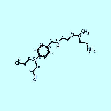 CC(CCN)OCCNCc1ccc(N(CCCl)CCCl)cc1